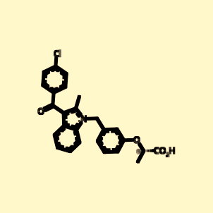 Cc1c(C(=O)c2ccc(Cl)cc2)c2ccccc2n1Cc1cccc(O[C@@H](C)C(=O)O)c1